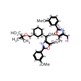 COc1cccc(-c2nc(C(OC)[C@@H]3CCC[C@H](COC(C)(C)C(=O)O)C3)c(C(C)C)o2)c1.COc1cccc(-c2nc(CI)c(C(C)C)o2)c1